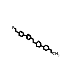 C/C=C/C1CCC(C2CCC(CCc3ccc(-c4ccc(CCF)cc4)cc3)CC2)CC1